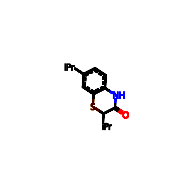 CC(C)c1ccc2c(c1)SC(C(C)C)C(=O)N2